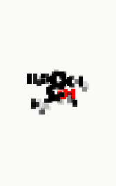 CC(C)=CC1C(C)CCC(C)C1O